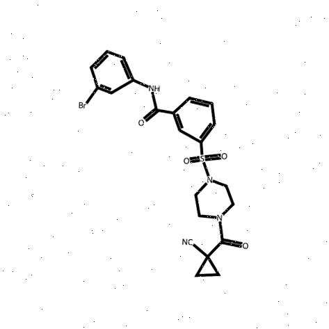 N#CC1(C(=O)N2CCN(S(=O)(=O)c3cccc(C(=O)Nc4cccc(Br)c4)c3)CC2)CC1